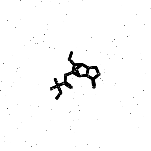 CCC(C)(I)C(=O)OC1C2CC(C3COC(=O)C32)C1OC